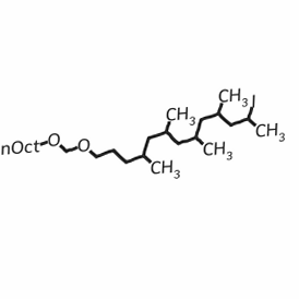 CCCCCCCCOCOCCCC(C)CC(C)CC(C)CC(C)CC(C)I